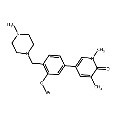 Cc1cc(-c2ccc(CN3CCN(C)CC3)c(OC(C)C)c2)cn(C)c1=O